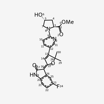 COC(=O)[C@@H]1C[C@@H](O)CN1c1ccc(C2=C/C(=C3\C(=O)Nc4ccc(F)cc43)OC2(C)C)cn1